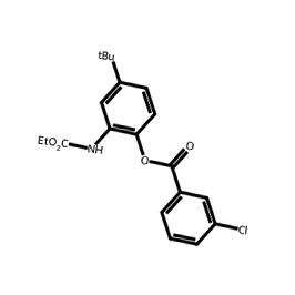 CCOC(=O)Nc1cc(C(C)(C)C)ccc1OC(=O)c1cccc(Cl)c1